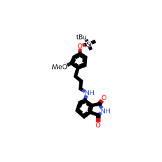 COc1cc(O[Si](C)(C)C(C)(C)C)ccc1CCCNc1cccc2c1C(=O)NC2=O